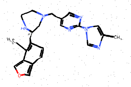 Cc1cn(-c2ncc(CN3CCN[C@H](c4ccc5cocc5c4C)C3)cn2)cn1